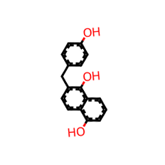 Oc1ccc(Cc2ccc3c(O)cccc3c2O)cc1